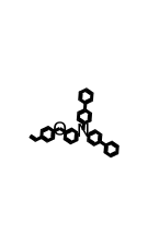 C=Cc1ccc(Oc2cccc(N(c3ccc(-c4ccccc4)cc3)c3ccc(-c4ccccc4)cc3)c2)cc1